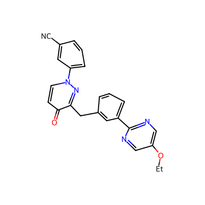 CCOc1cnc(-c2cccc(Cc3nn(-c4cccc(C#N)c4)ccc3=O)c2)nc1